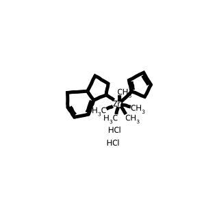 Cl.Cl.[CH3][Zr]([CH3])([CH3])([CH3])([CH3])([C]1=CC=CC1)[CH]1CCC2CC=CC=C21